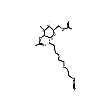 CC(=O)OCC1O[C@H](OCCOCCOCCN=[N+]=[N-])C(OC(C)=O)[C@@H](C)[C@@H]1C